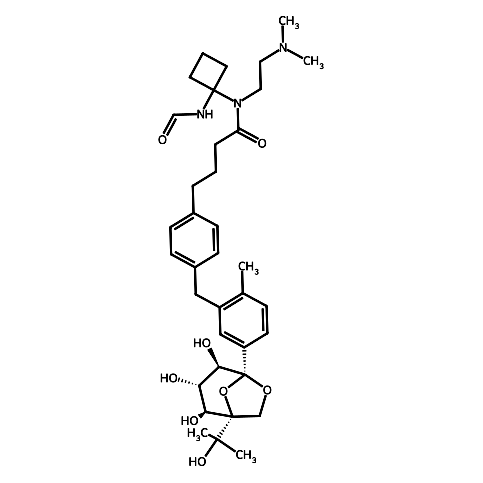 Cc1ccc([C@]23OC[C@](C(C)(C)O)(O2)[C@@H](O)[C@H](O)[C@H]3O)cc1Cc1ccc(CCCC(=O)N(CCN(C)C)C2(NC=O)CCC2)cc1